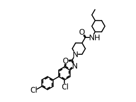 CCC1CCCC(NC(=O)C2CCN(c3nc4cc(Cl)c(-c5ccc(Cl)cc5)cc4o3)CC2)C1